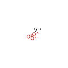 [O-2].[O-2].[O-2].[V+5]